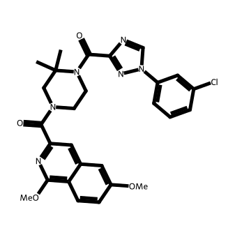 COc1ccc2c(OC)nc(C(=O)N3CCN(C(=O)c4ncn(-c5cccc(Cl)c5)n4)C(C)(C)C3)cc2c1